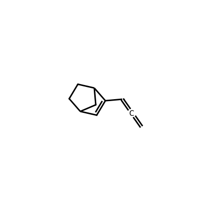 C=C=[C]C1=CC2CCC1C2